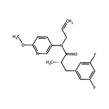 C=CCN(C(=O)[C@@H](C)Cc1cc(F)cc(F)c1)c1ccc(OC)nc1